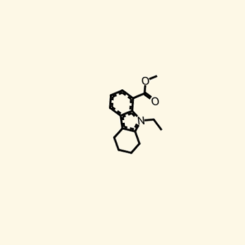 CCn1c2c(c3cccc(C(=O)OC)c31)CCCC2